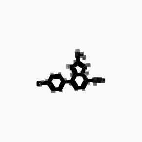 COc1ccc(-c2ccc(Cl)cc2)c2nc(N)nn12